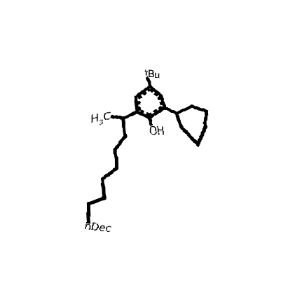 CCCCCCCCCCCCCCCCC(C)c1cc(C(C)(C)C)cc(C2CCCCC2)c1O